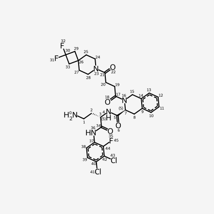 NCC[C@H](NC(=O)[C@@H]1Cc2ccccc2CN1C(=O)CCC(=O)N1CCC2(CC1)CC(F)(F)C2)C(=O)Nc1ccc(Cl)c(Cl)c1F